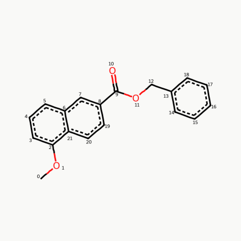 COc1cccc2cc(C(=O)OCc3ccccc3)ccc12